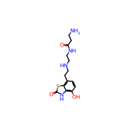 NCCC(=O)NCCNCCc1ccc(O)c2[nH]c(=O)sc12